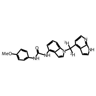 [2H]C([2H])(c1ccnc2[nH]ccc12)n1ccc2c(NC(=O)Nc3ccc(OC)cc3)cccc21